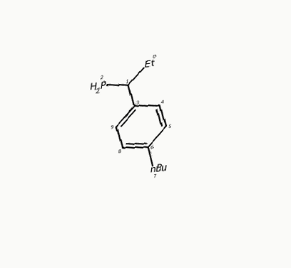 [CH2]CC(P)c1ccc(CCCC)cc1